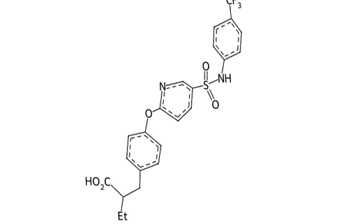 CCC(Cc1ccc(Oc2ccc(S(=O)(=O)Nc3ccc(C(F)(F)F)cc3)cn2)cc1)C(=O)O